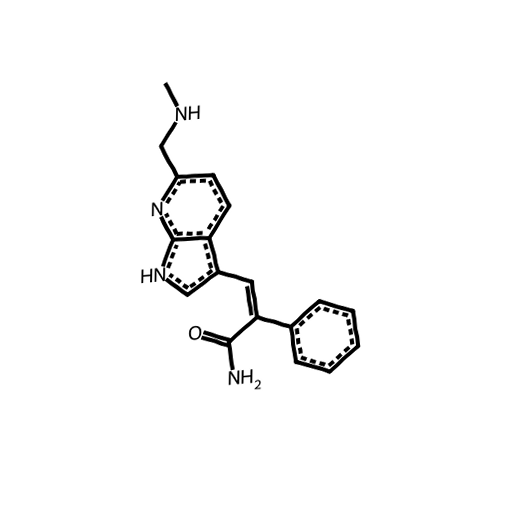 CNCc1ccc2c(C=C(C(N)=O)c3ccccc3)c[nH]c2n1